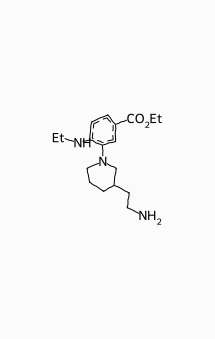 CCNc1ccc(C(=O)OCC)cc1N1CCCC(CCN)C1